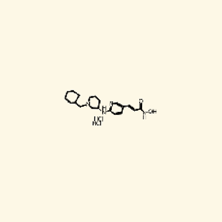 Cl.Cl.O=C(/C=C/c1ccc(N[C@H]2CCCN(CC3CCCCC3)C2)nc1)NO